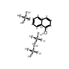 Clc1cccc2ccccc12.F[B-](F)(F)F.F[B-](F)(F)F.F[B-](F)(F)F